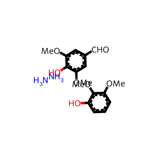 COc1cc(C=O)cc(OC)c1O.COc1cccc(O)c1OC.N.N